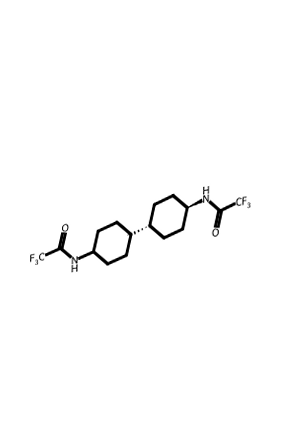 O=C(NC1CC[C]([C@H]2CC[C@H](NC(=O)C(F)(F)F)CC2)CC1)C(F)(F)F